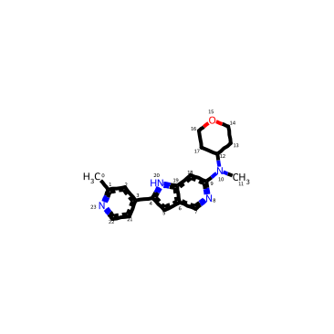 Cc1cc(-c2cc3cnc(N(C)C4CCOCC4)cc3[nH]2)ccn1